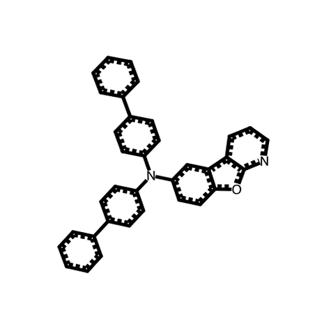 c1ccc(-c2ccc(N(c3ccc(-c4ccccc4)cc3)c3ccc4oc5ncccc5c4c3)cc2)cc1